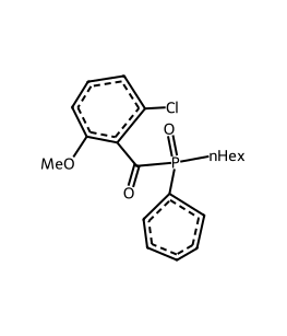 CCCCCCP(=O)(C(=O)c1c(Cl)cccc1OC)c1ccccc1